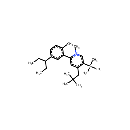 CCC(CC)c1ccc(C)c(-c2cc(CC(C)(C)C)c([Si](C)(C)C)c[n+]2C)c1